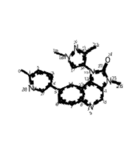 Cc1ccc(-c2ccc3ncc4c(c3c2)n(-c2cn(C)nc2C)c(=O)n4C)cn1